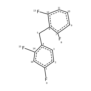 Fc1ccc(Cc2c(F)cccc2F)c(F)c1